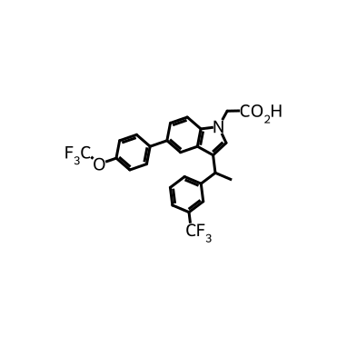 CC(c1cccc(C(F)(F)F)c1)c1cn(CC(=O)O)c2ccc(-c3ccc(OC(F)(F)F)cc3)cc12